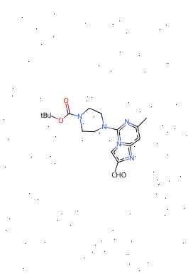 Cc1cc2nc(C=O)cn2c(N2CCN(C(=O)OC(C)(C)C)CC2)n1